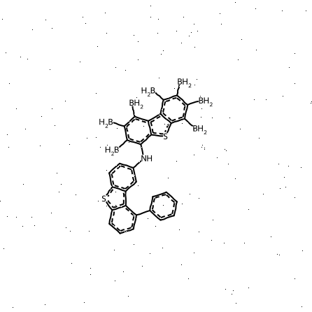 Bc1c(B)c(B)c2c(sc3c(Nc4ccc5sc6cccc(-c7ccccc7)c6c5c4)c(B)c(B)c(B)c32)c1B